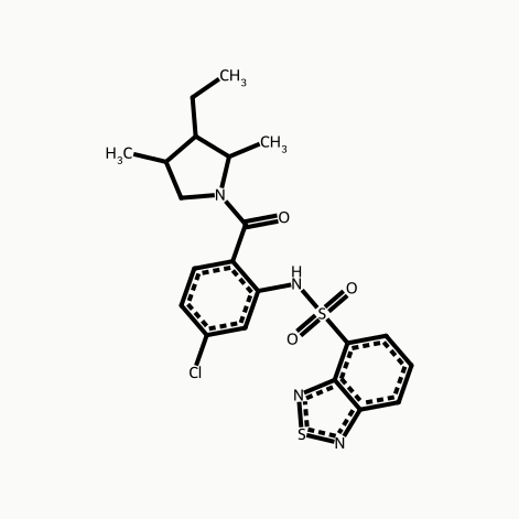 CCC1C(C)CN(C(=O)c2ccc(Cl)cc2NS(=O)(=O)c2cccc3nsnc23)C1C